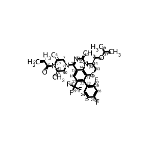 C=CC(=O)N1[C@H](C)CN(C2=NC(=C)N3c4c2cc(C(F)(F)F)c(-c2ccc(F)cc2F)c4SC[C@@H]3COC(C)C)C[C@@H]1C